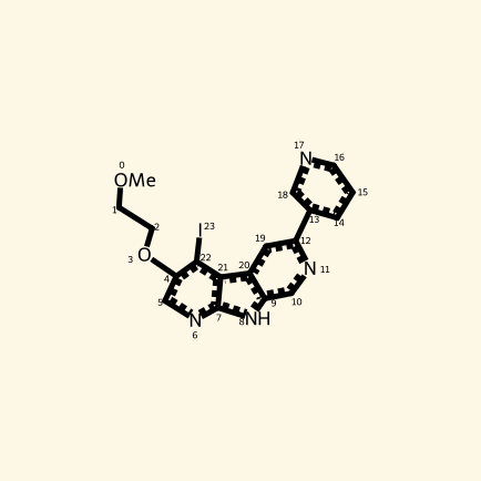 COCCOc1cnc2[nH]c3cnc(-c4cccnc4)cc3c2c1I